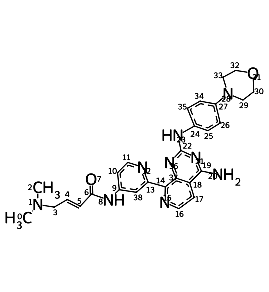 CN(C)CC=CC(=O)Nc1ccnc(-c2nccc3c(N)nc(Nc4ccc(N5CCOCC5)cc4)nc23)c1